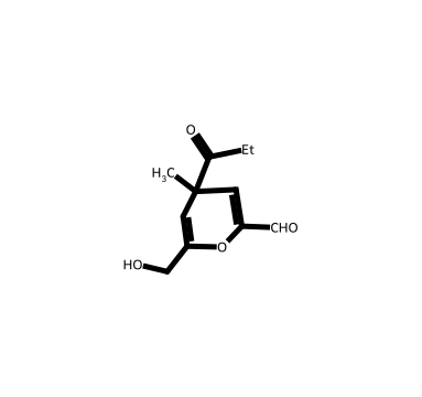 CCC(=O)C1(C)C=C(C=O)OC(CO)=C1